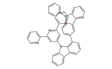 c1ccc(-n2c3ccc(-c4cccc5c6ccccc6n(-c6cc(-c7ccccn7)nc(-c7ccccn7)c6)c45)cc3c3ncccc32)cc1